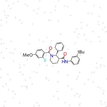 COc1ccc(C(=O)N2CCC[C@H](C(=O)Nc3cccc(C(C)(C)C)c3)[C@@H]2C2C=CC=CC2)c(F)c1